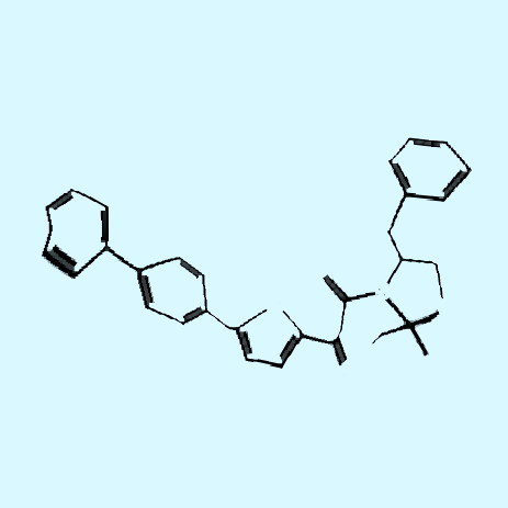 CC1(C)OCC(Cc2ccccc2)N1C(=O)C(=O)c1ccc(-c2ccc(-c3ccccc3)cc2)o1